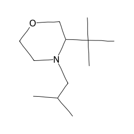 CC(C)CN1CCOCC1C(C)(C)C